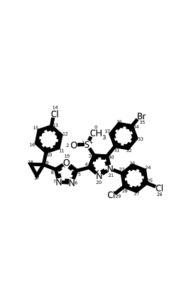 C[S+]([O-])c1c(-c2nnc(C3(c4ccc(Cl)cc4)CC3)o2)nn(-c2ccc(Cl)cc2Cl)c1-c1ccc(Br)cc1